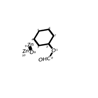 O=COC1CCCCC1.[O]=[Zn].[Zn]